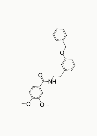 COc1ccc(C(=O)NCCc2cccc(OCc3ccccc3)c2)cc1OC